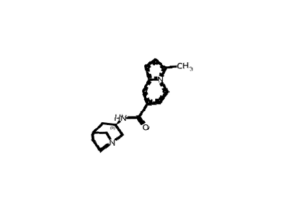 Cc1ccc2cc(C(=O)N[C@@H]3CC4CCN(C4)C3)ccn12